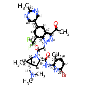 CC(=O)c1nn(CC(=O)N2C3[C@H](C)[C@]3(CN(C)C)C[C@H]2C(=O)Nc2nc(Br)ccc2C)c2c(C(F)(F)F)cc(-c3cnc(C)nc3)cc12